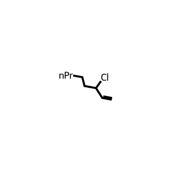 C=CC(Cl)CCCCC